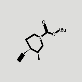 C#C[C@@H]1CCN(C(=O)OC(C)(C)C)C[C@H]1C